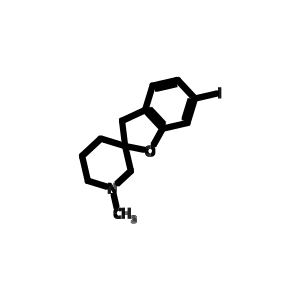 CN1CCCC2(Cc3ccc(I)cc3O2)C1